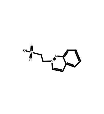 O=S(=O)([O-])CC[n+]1ccc2ccccc2n1